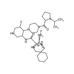 CC(C)N1CCCC1C(=O)N1CCN(C2C(F)CNCC2NC(=O)C2C(N)NC3CCC(F)CNC2CC32CCCCC2)CC1